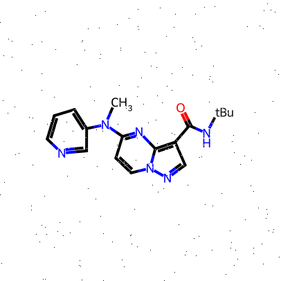 CN(c1cccnc1)c1ccn2ncc(C(=O)NC(C)(C)C)c2n1